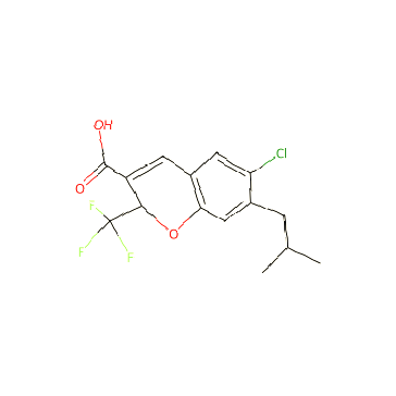 CC(C)Cc1cc2c(cc1Cl)C=C(C(=O)O)C(C(F)(F)F)O2